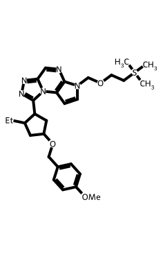 CCC1CC(OCc2ccc(OC)cc2)CC1c1nnc2cnc3c(ccn3COCCS(C)(C)C)n12